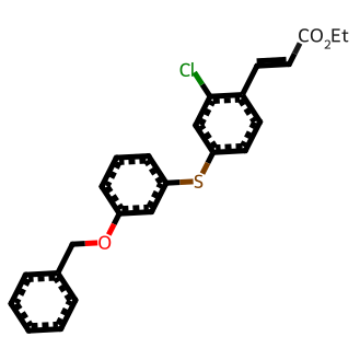 CCOC(=O)C=Cc1ccc(Sc2cccc(OCc3ccccc3)c2)cc1Cl